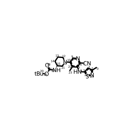 Cc1cc(Nc2c(C#N)ncc(N3CCC[C@@H](NC(=O)OC(C)(C)C)C3)c2C)sn1